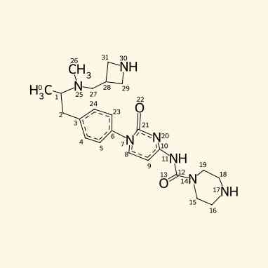 CC(Cc1ccc(-n2ccc(NC(=O)N3CCNCC3)nc2=O)cc1)N(C)CC1CNC1